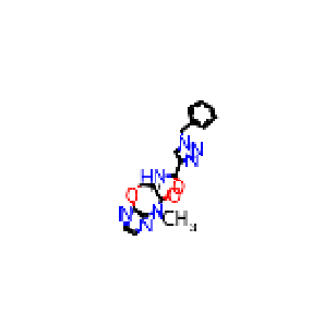 CN1C(=O)[C@@H](NC(=O)c2cn(Cc3ccccc3)nn2)COc2nccnc21